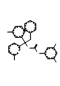 Cc1cccc(C(Cc2ccccc2)(NC(=O)Nc2cc(F)cc(F)c2)c2cccc(C(F)(F)F)c2)n1